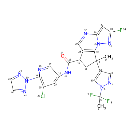 CC1(c2cnn(C(C)(F)F)c2)CC(C(=O)Nc2cnc(-n3nccn3)c(Cl)c2)c2cnc3cc(F)nn3c21